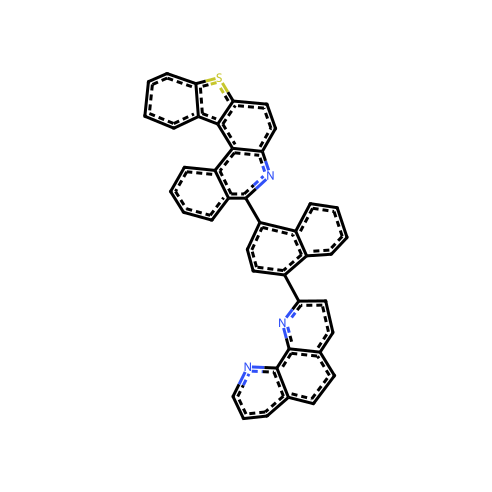 c1cnc2c(c1)ccc1ccc(-c3ccc(-c4nc5ccc6sc7ccccc7c6c5c5ccccc45)c4ccccc34)nc12